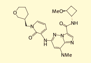 CNc1cc(Nc2cccn(C[C@@H]3CCCOC3)c2=O)nn2c(C(=O)N[C@H]3CC[C@@H]3OC)cnc12